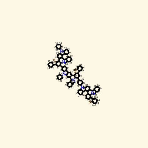 c1ccc(-n2c3cc(-c4cc5c6ccccc6sc5c5c6ccc7c(c8ccccc8n7-c7ccccc7)c6c6c7ccccc7cn6c45)ccc3c3cc4c(cc32)c2c3ccccc3cn2c2c(-c3ccc(-n5c6ccccc6c6c7c(ccc65)c5c6ccccc6cn5c5c7ccc6sc7ccccc7c65)cc3)cc3c5ccccc5sc3c42)cc1